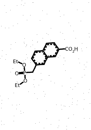 CCOP(=O)(Cc1ccc2ccc(C(=O)O)cc2c1)OCC